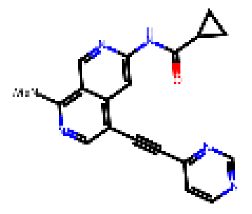 CNc1ncc(C#Cc2ccncn2)c2cc(NC(=O)C3CC3)ncc12